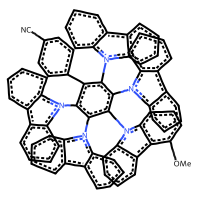 COc1cccc2c1c1ccccc1n2-c1c(-n2c3ccccc3c3ccccc32)c(-n2c3ccccc3c3ccccc32)c(-c2ccc(C#N)cc2)c(-n2c3ccccc3c3ccccc32)c1-n1c2ccccc2c2ccccc21